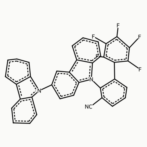 N#Cc1cccc(-c2c(F)c(F)c(F)c(F)c2F)c1-n1c2ccccc2c2cc(-n3c4ccccc4c4ccccc43)ccc21